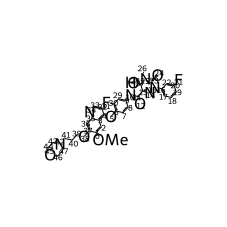 COc1cc2c(Oc3ccc(NC(=O)c4nn(-c5cccc(F)c5)c(=O)n(C)c4=O)cc3F)ccnc2cc1OCCCN1CCOCC1